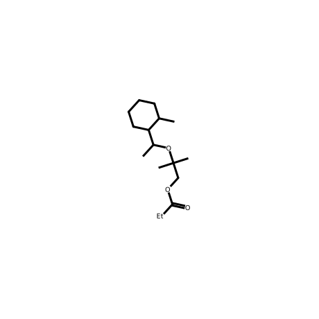 CCC(=O)OCC(C)(C)OC(C)C1CCCCC1C